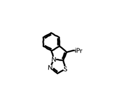 CC(C)c1c2ccccc2n2ncsc12